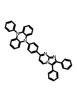 c1ccc(-c2nc3nc(-c4ccc(N5c6ccccc6N(c6ccccc6)c6ccccc65)cc4)ccn3c2-c2ccccc2)cc1